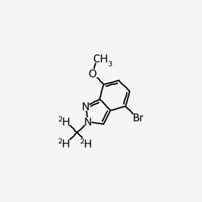 [2H]C([2H])([2H])n1cc2c(Br)ccc(OC)c2n1